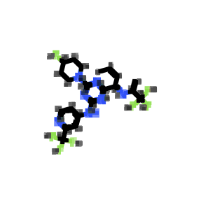 C=C(/N=C(\C=C/C)c1nc(Nc2ccnc(C(F)(F)F)c2)nc(N2CCC(F)CC2)n1)C(F)(F)F